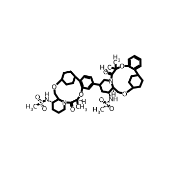 C[C@@H]1Oc2cc(C3C[C@H](NS(C)(=O)=O)[C@@H]4COC5CCC(CC5)c5ccccc5OC(C)(C)C(=O)N4C3)ccc2C2CCC(CC2)OCC2[C@@H](NS(C)(=O)=O)CCCN2C1=O